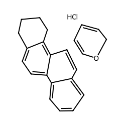 C1=CCOC=C1.Cl.c1ccc2c(c1)ccc1c3c(ccc12)CCCC3